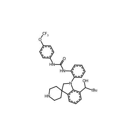 CC(C)(C)C(O)c1cccc2c1N(c1ccccc1NC(=O)Nc1ccc(OC(F)(F)F)cc1)CC21CCNCC1